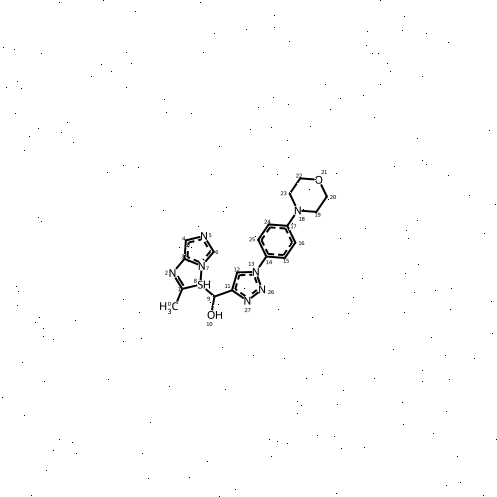 CC1=Nc2cncn2[SH]1C(O)c1cn(-c2ccc(N3CCOCC3)cc2)nn1